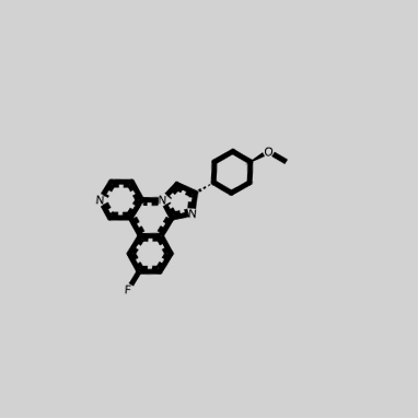 CO[C@H]1CC[C@H](c2cn3c4ccncc4c4cc(F)ccc4c3n2)CC1